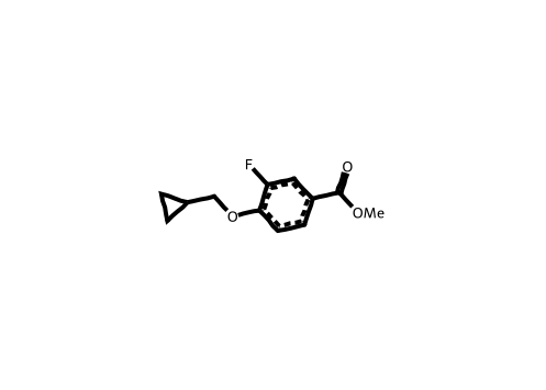 COC(=O)c1ccc(OCC2CC2)c(F)c1